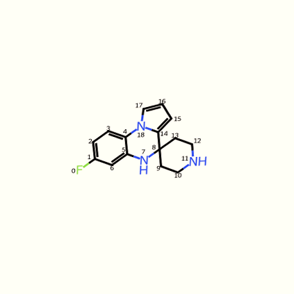 Fc1ccc2c(c1)NC1(CCNCC1)c1cccn1-2